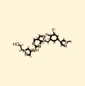 Cn1cc(-c2cc(F)c(F)c(Cn3ncc4cnc(Nc5cnn(CCO)c5)nc43)c2)cn1